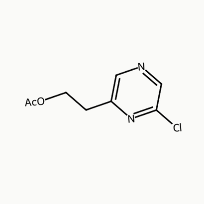 CC(=O)OCCc1cncc(Cl)n1